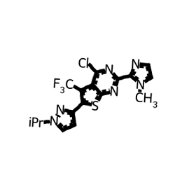 CC(C)n1ccc(-c2sc3nc(-c4nccn4C)nc(Cl)c3c2C(F)(F)F)n1